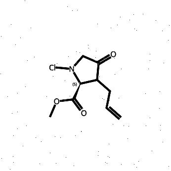 C=CCC1C(=O)CN(Cl)[C@@H]1C(=O)OC